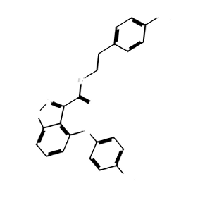 O=C(O)c1ccc(CCNC(=O)c2nsc3cccc(Oc4ccc(C(F)(F)F)cc4)c23)cc1